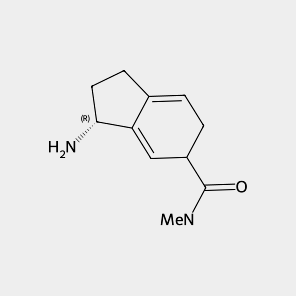 CNC(=O)C1C=C2C(=CC1)CC[C@H]2N